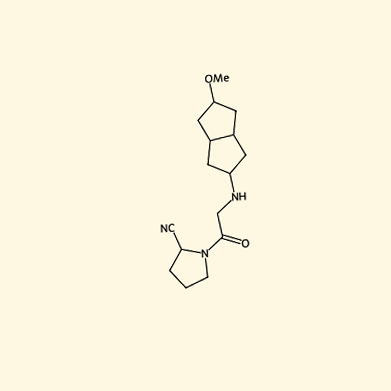 COC1CC2CC(NCC(=O)N3CCCC3C#N)CC2C1